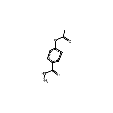 CC(=O)Nc1ccc(C(=O)NN)cc1